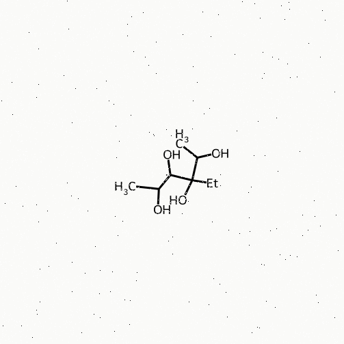 CCC(O)([C](O)C(C)O)C(C)O